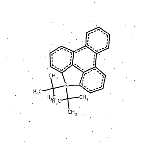 CC(C)(C)[Si]1(C(C)(C)C)c2cccc3c4ccccc4c4cccc1c4c23